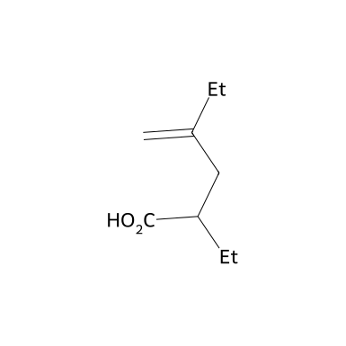 C=C(CC)CC(CC)C(=O)O